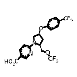 O=C(O)c1ccc(N2C[C@@H](Oc3ccc(C(F)(F)F)cc3)C[C@H]2COC(F)(F)F)nc1